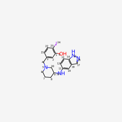 Oc1cc(CN2CCCC(Nc3ccc4[nH]ncc4c3)C2)ccc1I